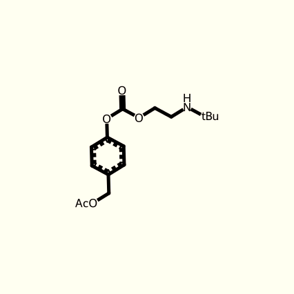 CC(=O)OCc1ccc(OC(=O)OCCNC(C)(C)C)cc1